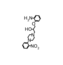 Nc1ccccc1OCC(O)CN1CCN(c2ccccc2[N+](=O)[O-])CC1